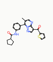 Cc1cnc2c(C(=O)c3cccs3)cnn2c1-c1cccc(NC(=O)C2CCCC2)c1